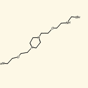 CNCCOCCN1CCN(CCOCCNCC(C)(C)C)CC1